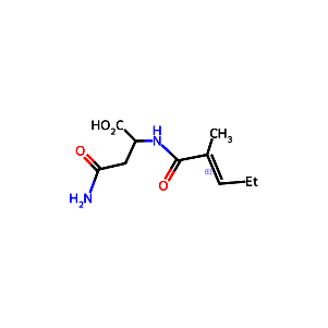 CC/C=C(\C)C(=O)NC(CC(N)=O)C(=O)O